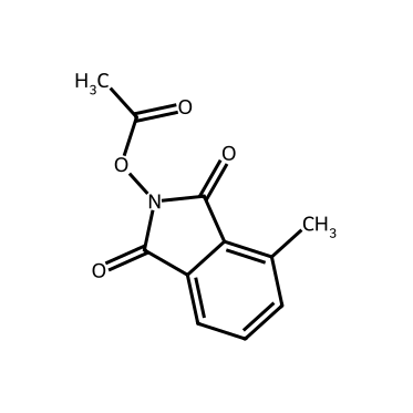 CC(=O)ON1C(=O)c2cccc(C)c2C1=O